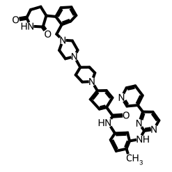 Cc1ccc(NC(=O)c2ccc(N3CCC(N4CCN(Cc5ccccc5C5CCC(=O)NC5=O)CC4)CC3)cc2)cc1Nc1nccc(-c2cccnc2)n1